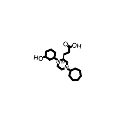 O=C(O)CC[C@H]1CN(C2CCCCCC2)CCN1C1CCCC(O)C1